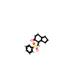 O=C1CCC2CCCC2C1CS(=O)(=O)c1ccccc1